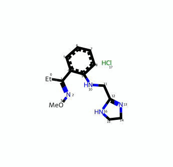 CCC(=NOC)c1ccccc1NCC1=NCCN1.Cl